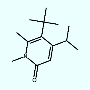 Cc1c(C(C)(C)C)c(C(C)C)cc(=O)n1C